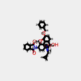 O=C1c2ccccc2C(=O)N1[C@@H]1CC[C@@]2(O)[C@H]3[C@@H](O)c4ccc(OCc5ccccc5)c5c4[C@@]2(CCN3CC2CC2)[C@H]1O5